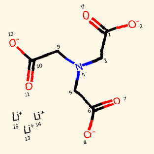 O=C([O-])CN(CC(=O)[O-])CC(=O)[O-].[Li+].[Li+].[Li+]